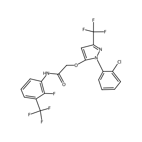 O=C(COc1cc(C(F)(F)F)nn1-c1ccccc1Cl)Nc1cccc(C(F)(F)F)c1F